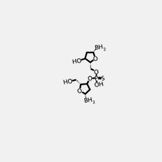 B[C@H]1CC(O)[C@@H](COP(O)(=S)OC2C[C@H](B)O[C@@H]2CO)O1